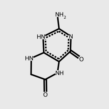 Nc1nc(=O)c2c([nH]1)NCC(=O)N2